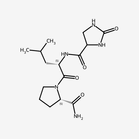 CC(C)C[C@H](NC(=O)C1CNC(=O)N1)C(=O)N1CCC[C@H]1C(N)=O